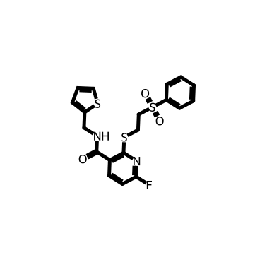 O=C(NCc1cccs1)c1ccc(F)nc1SCCS(=O)(=O)c1ccccc1